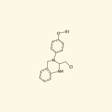 CCOc1ccc(N2Cc3ccccc3NC2CCl)cc1